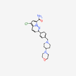 NC(=O)c1cc(Cl)c2ccc(-c3ccc(CN4CCC(N5CCOCC5)CC4)cc3)nn12